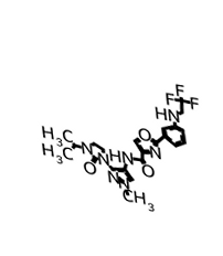 CC(C)N1CCN(c2nn(C)cc2NC(=O)c2coc(-c3cccc(NCC(F)(F)F)c3)n2)C1=O